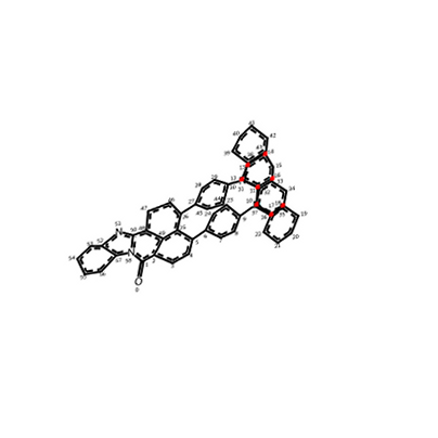 O=c1c2ccc(-c3ccc(N(c4ccccc4)c4ccccc4)cc3)c3c(-c4ccc(N(c5ccccc5)c5ccccc5)cc4)ccc(c32)c2nc3ccccc3n12